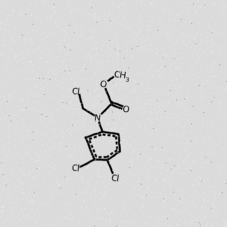 COC(=O)N(CCl)c1ccc(Cl)c(Cl)c1